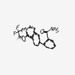 C[C@@H](Oc1nncc2cc(-c3ccccc3C(N)=O)ccc12)C(F)(F)F